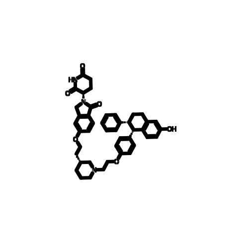 O=C1CC[C@H](N2Cc3cc(OCC[C@H]4CCCN(CCOc5ccc([C@H]6c7ccc(O)cc7CC[C@H]6c6ccccc6)cc5)C4)ccc3C2=O)C(=O)N1